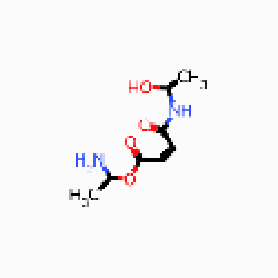 CC(O)NC(=O)/C=C\C(=O)OC(C)N